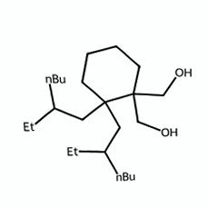 CCCCC(CC)CC1(CC(CC)CCCC)CCCCC1(CO)CO